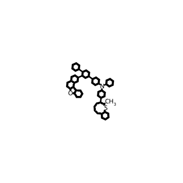 Cc1sc2ccccc2ccccc1-c1ccc(N(c2ccccc2)c2ccc(-c3ccc(-c4ccccc4)c(-c4ccc5ccc6oc7ccccc7c6c5c4)c3)cc2)cc1